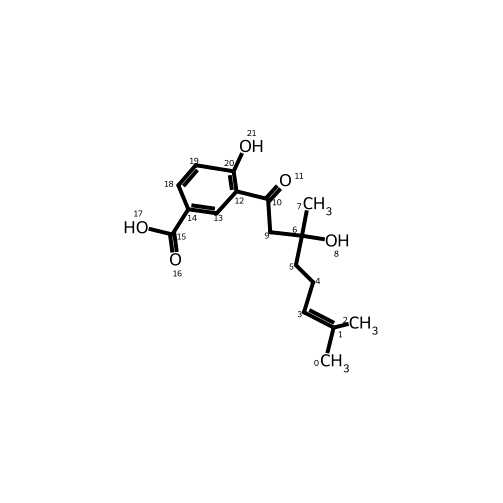 CC(C)=CCCC(C)(O)CC(=O)c1cc(C(=O)O)ccc1O